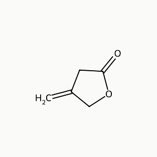 C=C1COC(=O)C1